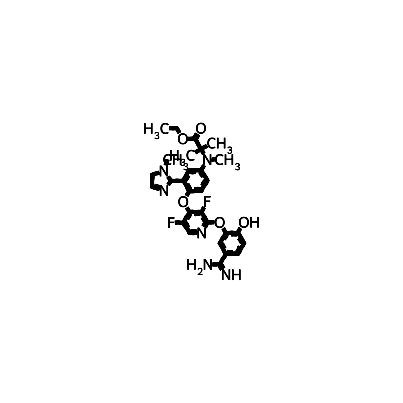 CCOC(=O)C(C)(C)N(C)c1ccc(Oc2c(F)cnc(Oc3cc(C(=N)N)ccc3O)c2F)c(C2N=CCN2C)c1